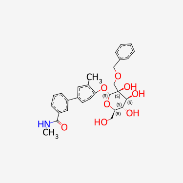 CNC(=O)c1cccc(-c2ccc(O[C@H]3O[C@H](CO)[C@@H](O)[C@H](O)[C@@]3(O)COCc3ccccc3)c(C)c2)c1